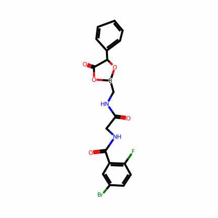 O=C(CNC(=O)c1cc(Br)ccc1F)NCB1OC(=O)C(c2ccccc2)O1